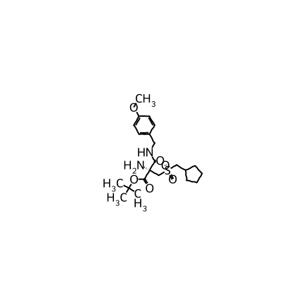 COc1ccc(CNC(=O)[C@@](N)(CS(=O)(=O)CC2CCCC2)C(=O)OC(C)(C)C)cc1